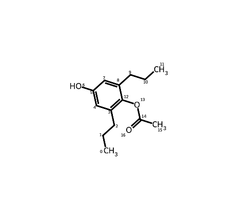 CCCc1cc(O)cc(CCC)c1OC(C)=O